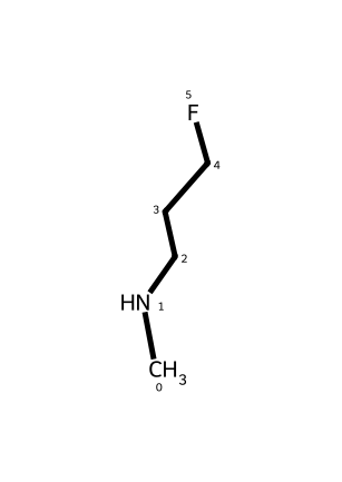 CNCCCF